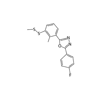 CSSc1cccc(-c2nnc(-c3ccc(F)cc3)o2)c1C